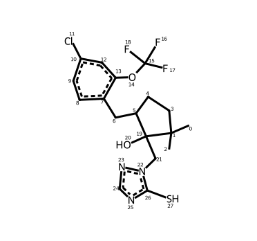 CC1(C)CCC(Cc2ccc(Cl)cc2OC(F)(F)F)C1(O)Cn1ncnc1S